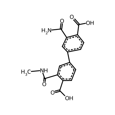 CNC(=O)c1cc(-c2ccc(C(=O)O)c(C(N)=O)c2)ccc1C(=O)O